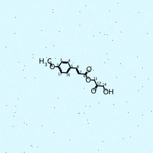 COc1ccc(C=CC(=O)OCC(=O)CO)cc1